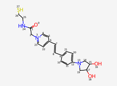 O=C(C[n+]1ccc(/C=C/c2ccc(N3CC(O)C(O)C3)cc2)cc1)NCCS